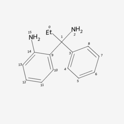 CCC(N)(c1ccccc1)c1ccccc1N